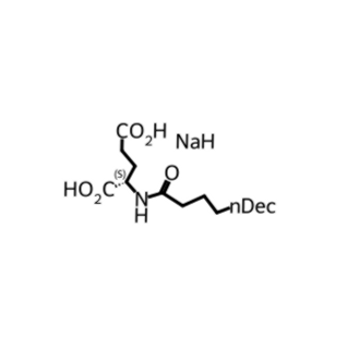 CCCCCCCCCCCCCC(=O)N[C@@H](CCC(=O)O)C(=O)O.[NaH]